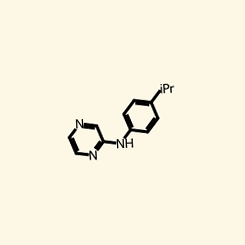 CC(C)c1ccc(Nc2cnccn2)cc1